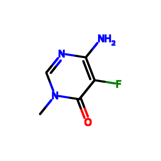 Cn1cnc(N)c(F)c1=O